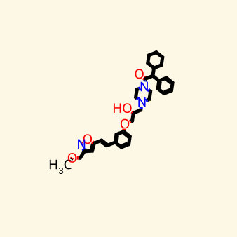 COCc1cc(C=Cc2cccc(OCC(O)CN3CCN(C(=O)C(c4ccccc4)C4CCCCC4)CC3)c2)on1